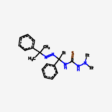 CCN(CC)NC(=S)NC(CC)(N=NC(C)(C)c1ccccc1)c1ccccc1